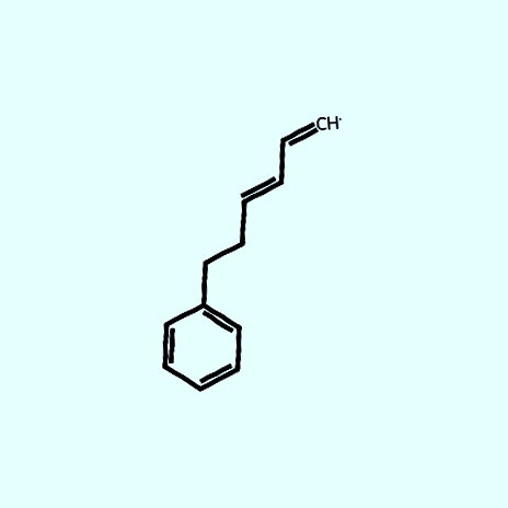 [CH]=CC=CCCc1ccccc1